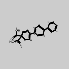 O=C(O)C1(C(=O)O)C=CC(c2ccc(-c3ccccc3)cc2)=CC1